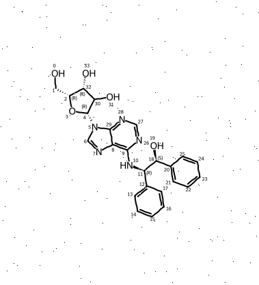 OC[C@H]1O[C@@H](n2cnc3c(N[C@H](c4ccccc4)[C@@H](O)c4ccccc4)ncnc32)C(O)[C@H]1O